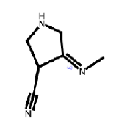 C/N=C1\CNCC1C#N